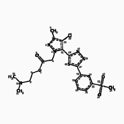 Cc1nn(CC(=O)OCCN(C)C)c(-c2nnc(-c3cccc(S(C)(=O)=O)c3)s2)c1Cl